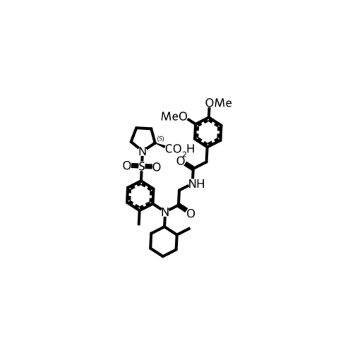 COc1ccc(CC(=O)NCC(=O)N(c2cc(S(=O)(=O)N3CCC[C@H]3C(=O)O)ccc2C)C2CCCCC2C)cc1OC